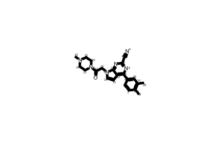 Cc1ccc(-c2nc(C#N)nc3c2ccn3CC(=O)N2CCN(C)CC2)cc1C